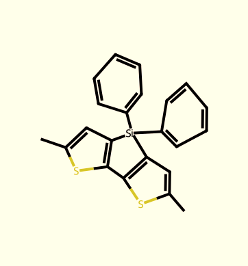 Cc1cc2c(s1)-c1sc(C)cc1[Si]2(c1ccccc1)c1ccccc1